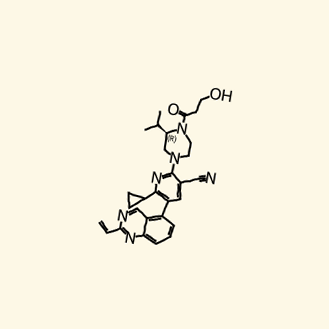 C=Cc1ncc2c(-c3cc(C#N)c(N4CCN(C(=O)CCO)[C@H](C(C)C)C4)nc3C3CC3)cccc2n1